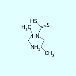 CCCN.CCCNC(=S)S